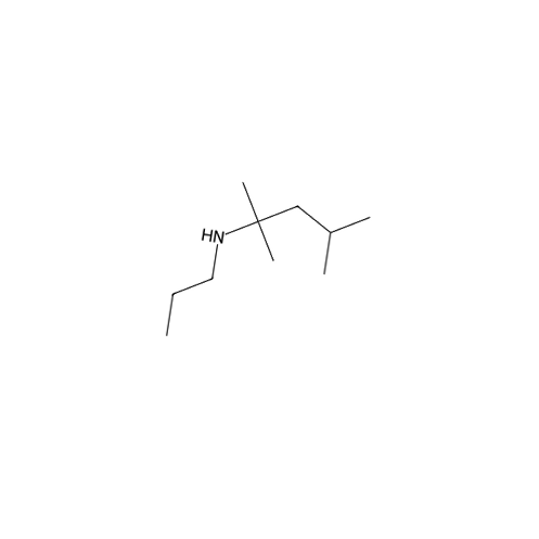 CCCNC(C)(C)CC(C)C